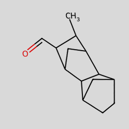 CC1C(C=O)C2CC1C1C3CCC(C3)C21